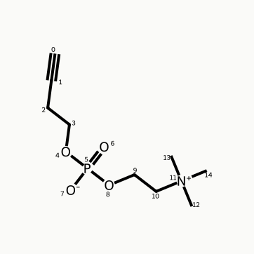 C#CCCOP(=O)([O-])OCC[N+](C)(C)C